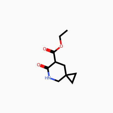 CCOC(=O)C1CC2(CC2)CNC1=O